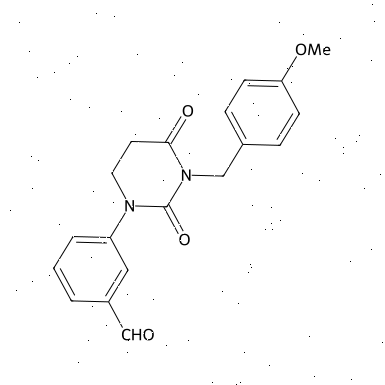 COc1ccc(CN2C(=O)CCN(c3cccc(C=O)c3)C2=O)cc1